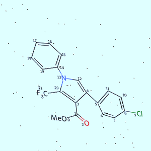 COC(=O)c1c(-c2ccc(Cl)cc2)cn(-c2ccccc2)c1C(F)(F)F